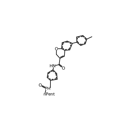 CCCCC[PH](=O)Cc1ccc(NC(=O)C2=Cc3cc(-c4ccc(C)cc4)ccc3OC2)cc1